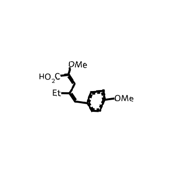 CCC(=Cc1ccc(OC)cc1)C=C(OC)C(=O)O